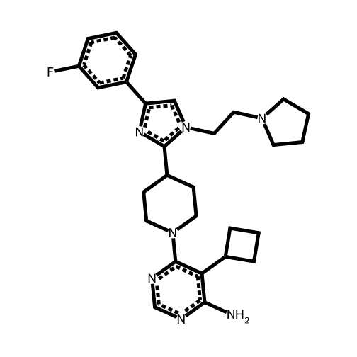 Nc1ncnc(N2CCC(c3nc(-c4cccc(F)c4)cn3CCN3CCCC3)CC2)c1C1CCC1